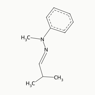 CC(C)/C=N/N(C)c1ccccc1